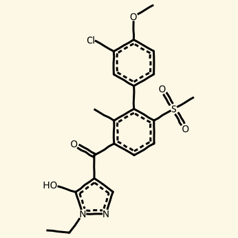 CCn1ncc(C(=O)c2ccc(S(C)(=O)=O)c(-c3ccc(OC)c(Cl)c3)c2C)c1O